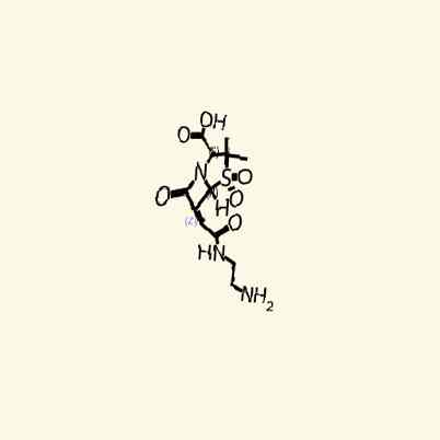 CC1(C)[C@H](C(=O)O)N2C(=O)/C(=C/C(=O)NCCN)[C@H]2S1(=O)=O